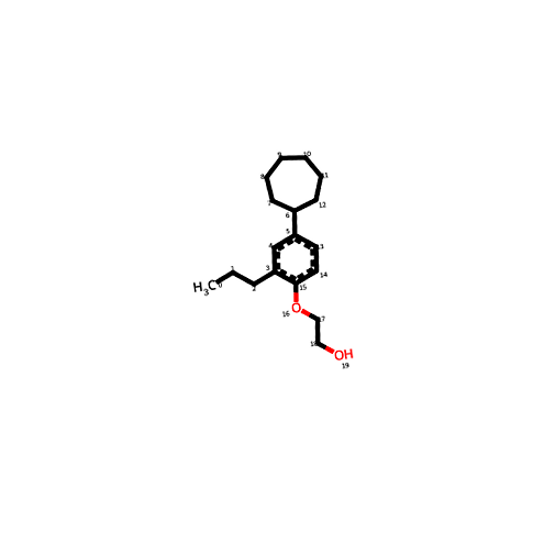 CCCc1cc(C2CCCCCC2)ccc1OCCO